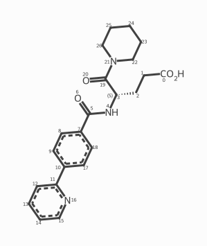 O=C(O)CC[C@H](NC(=O)c1ccc(-c2ccccn2)cc1)C(=O)N1CCCCC1